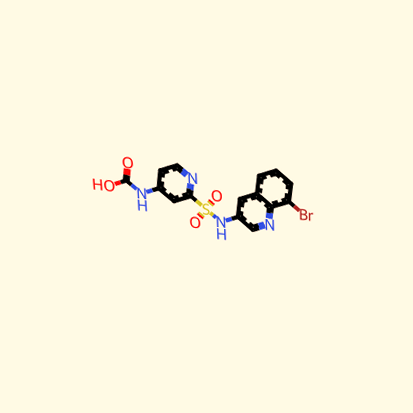 O=C(O)Nc1ccnc(S(=O)(=O)Nc2cnc3c(Br)cccc3c2)c1